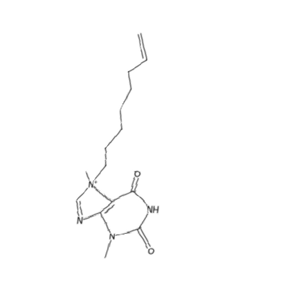 C=CCCCCCC[N+]1(C)C=Nc2c1c(=O)[nH]c(=O)n2C